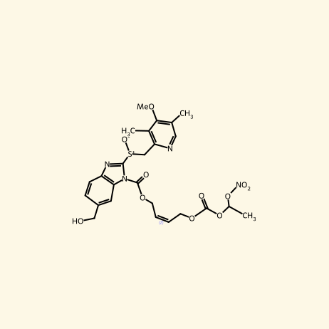 COc1c(C)cnc(C[S+]([O-])c2nc3ccc(CO)cc3n2C(=O)OC/C=C\COC(=O)OC(C)O[N+](=O)[O-])c1C